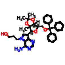 CC1(C)O[C@@H]2[C@@H](COC(c3ccccc3)(c3ccccc3)c3ccccc3)O[C@@H](c3cn(CCCO)c4c(N)ncnc34)[C@]2(C)O1